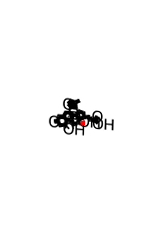 Cc1coc([C@@H]2CC3=CC(=O)C[C@H](O)[C@]3(C)[C@H]3CC[C@@]4(C)[C@@H](CC[C@@]4(O)CCC(=O)O)[C@H]23)c1